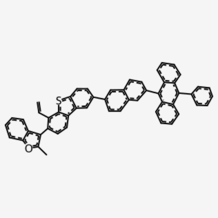 C=Cc1c(-c2c(C)oc3ccccc23)ccc2c1sc1ccc(-c3ccc4cc(-c5c6ccccc6c(-c6ccccc6)c6ccccc56)ccc4c3)cc12